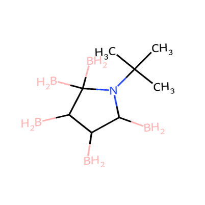 BC1C(B)N(C(C)(C)C)C(B)(B)C1B